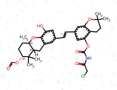 CC1(C)CCc2c(OC(=O)NC(=O)CCl)cc(/C=C/c3cc(O)c4c(c3)C[C@@H]3C(C)(C)[C@H](OC=O)CC[C@@]3(C)O4)cc2O1